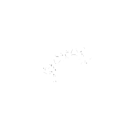 CC(C)n1ccc2c(N3CCOCC3)nc(-c3ccc(NC(=O)Nc4ccc(C(=O)N5CCN(C)[C@H](C)C5)cc4)cc3)nc21